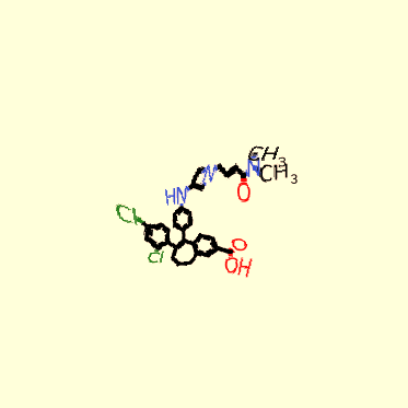 CN(C)C(=O)C=CCN1CC(Nc2ccc(C3=C(c4ccc(Cl)cc4Cl)CCCc4cc(C(=O)O)ccc43)cc2)C1